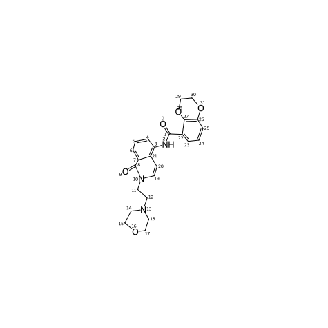 O=C(Nc1cccc2c(=O)n(CCN3CCOCC3)ccc12)c1cccc2c1OCCO2